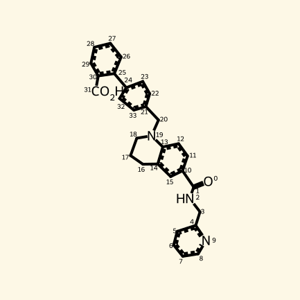 O=C(NCc1ccccn1)c1ccc2c(c1)CCCN2Cc1ccc(-c2ccccc2C(=O)O)cc1